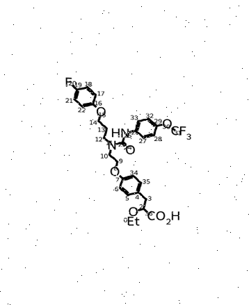 CCOC(Cc1ccc(OCCN(CCCOc2ccc(F)cc2)C(=O)Nc2ccc(OC(F)(F)F)cc2)cc1)C(=O)O